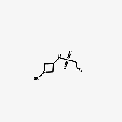 CC(C)(C)N1CC(NS(=O)(=O)CC(F)(F)F)C1